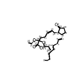 CCCCCC/C=C/[C@H]1CCC(=O)[C@@H]1C/C=C\CCC(OCC)(OCCC)C(=O)O